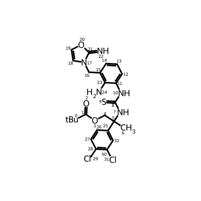 CC(C)(C)C(=O)OCC(C)(NC(=S)Nc1cccc(Cn2ccoc2=N)c1N)c1ccc(Cl)c(Cl)c1